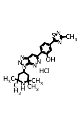 Cc1nsc(-c2ccc(-c3cc4nnn(C5CC(C)(C)NC(C)(C)C5)c4nn3)c(O)c2)n1.Cl